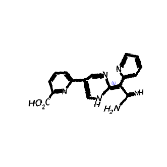 N=C(N)/C(=C1/N=CC(c2cccc(C(=O)O)n2)=CN1)c1ccccn1